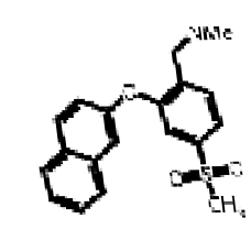 CNCc1ccc(S(C)(=O)=O)cc1Oc1ccc2ccccc2c1